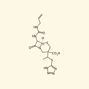 C=CCNC(=O)NC1C(=O)N2CC(C(=O)O)(C(C)Sc3nnn[nH]3)CS[C@H]12